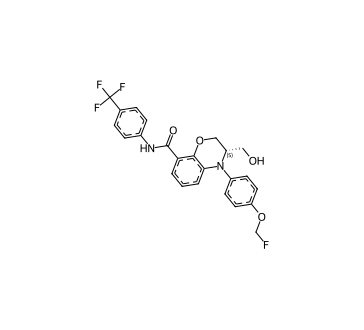 O=C(Nc1ccc(C(F)(F)F)cc1)c1cccc2c1OC[C@H](CO)N2c1ccc(OCF)cc1